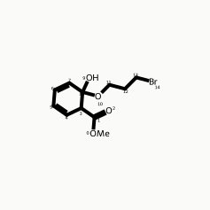 COC(=O)C1C=CC=CC1(O)OCCCBr